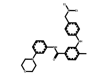 CCN(CC)Cc1ccc(Nc2cc(C(=O)Nc3cccc(N4CCOCC4)c3)ccc2C)cc1